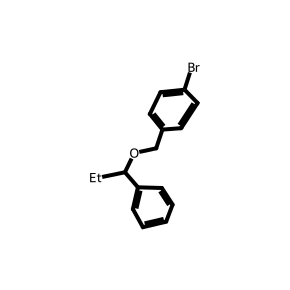 CCC(OCc1ccc(Br)cc1)c1ccccc1